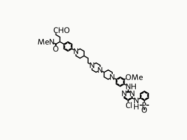 CNC(=O)C(CCC=O)c1ccc(N2CCC(CCN3CCN(C4CCN(c5ccc(Nc6ncc(Cl)c(Nc7ccccc7P(C)(C)=O)n6)c(OC)c5)CC4)CC3)CC2)cc1